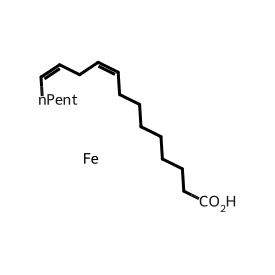 CCCCC/C=C\C/C=C\CCCCCCCC(=O)O.[Fe]